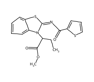 CCC(C(=O)OC)n1/c(=N\C(=O)c2cccs2)sc2ccccc21